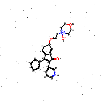 O=C1C2=CC(OCC[N+]3([O-])CCOCC3)CC=C2C(c2ccccc2)=C1c1cccnc1